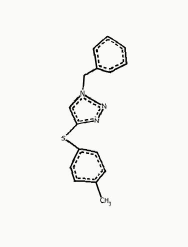 Cc1ccc(Sc2cn(Cc3ccccc3)nn2)cc1